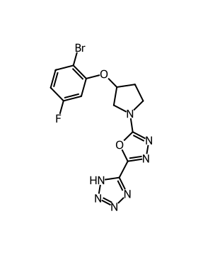 Fc1ccc(Br)c(OC2CCN(c3nnc(-c4nnn[nH]4)o3)C2)c1